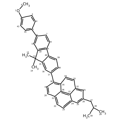 COc1ccc(-c2ccc3c(c2)C(C)(C)c2cc(-c4ccc5ccc6cc(CC(C)C)cc7ccc4c5c67)ccc2-3)cc1